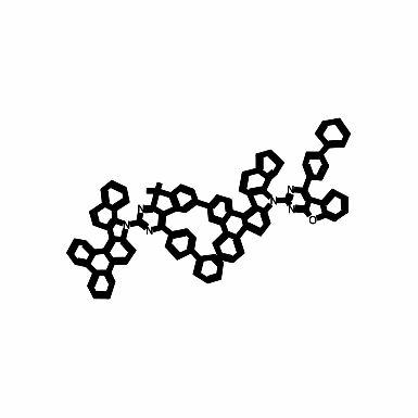 CC1(C)c2ccc(-c3ccc4c(c3)c3ccccc3c3ccc5c(c6ccc7ccccc7c6n5-c5nc(-c6ccc(-c7ccccc7)cc6)c6c(n5)oc5ccccc56)c34)cc2-c2c(-c3ccc(-c4ccccc4)cc3)nc(-n3c4ccc5c6ccccc6c6ccccc6c5c4c4ccc5ccccc5c43)nc21